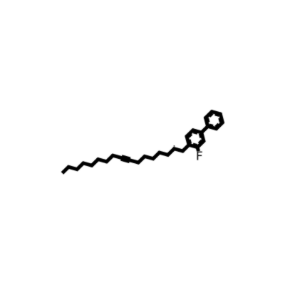 CCCCCCCCC#CCCCCC[CH]Cc1ccc(-c2ccccc2)cc1F